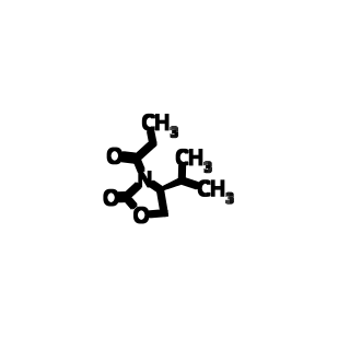 CCC(=O)N1C(=O)OC[C@@H]1C(C)C